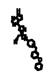 N#CCC1(n2cc(-c3ncnc4[nH]ccc34)cn2)CN(C2CCN(Cc3cccc(Oc4ccccc4)c3)CC2)C1